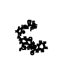 COc1cc(Cn2ccc(CNC(=O)C(F)(F)F)n2)cc2onc(NS(=O)(=O)Cc3ccccc3)c12